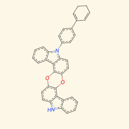 C1=CC(c2ccc(-n3c4ccccc4c4c5c(ccc43)Oc3c(ccc4[nH]c6ccccc6c34)O5)cc2)=CCC1